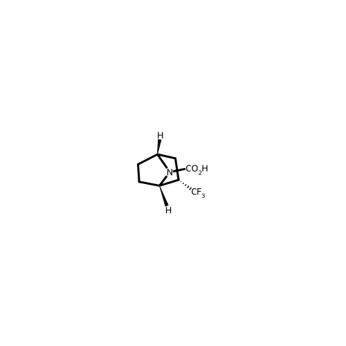 O=C(O)N1[C@@H]2CC[C@H]1[C@@H](C(F)(F)F)C2